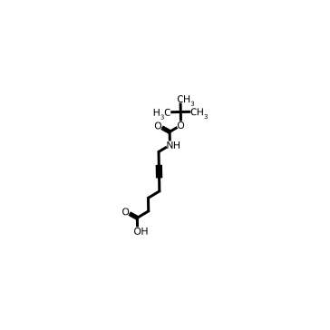 CC(C)(C)OC(=O)NCC#CCCCC(=O)O